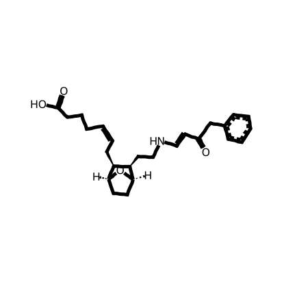 O=C(O)CCC/C=C\C[C@H]1[C@@H](CCNC=CC(=O)Cc2ccccc2)[C@H]2CC[C@@H]1O2